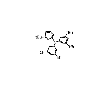 CC(C)(C)c1cccc(N(c2cc(Cl)cc(Br)c2)c2cc(C(C)(C)C)cc(C(C)(C)C)c2)c1